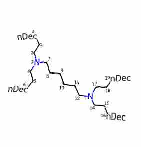 CCCCCCCCCCCCN(CCCCCCCCCCCC)CCCCCCN(CCCCCCCCCCCC)CCCCCCCCCCCC